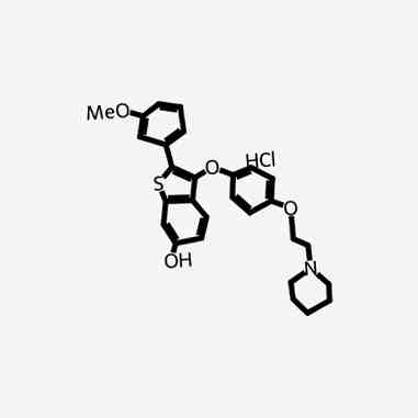 COc1cccc(-c2sc3cc(O)ccc3c2Oc2ccc(OCCN3CCCCC3)cc2)c1.Cl